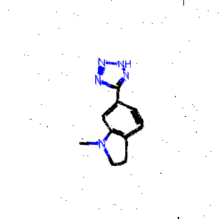 CN1CCc2ccc(-c3nn[nH]n3)cc21